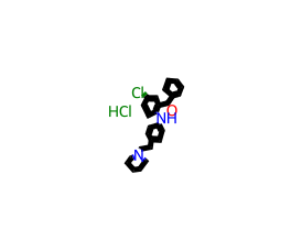 Cl.O=C(c1ccccc1)c1cc(Cl)ccc1Nc1ccc(CCN2CCCCC2)cc1